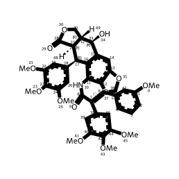 COc1cccc(/C=C(/C(=O)Nc2c3c(cc4c2[C@@H](c2cc(OC)c(OC)c(OC)c2)[C@H]2C(=O)OC[C@@H]2[C@H]4O)OCO3)c2cc(OC)c(OC)c(OC)c2)c1